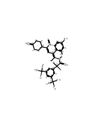 C=N/C(=C\C(=C(/C)N(C)C(=O)C(C)(C)c1cc(C(F)(F)F)cc(C(F)(F)F)c1)c1ccc(F)cc1C)C1CCC(=O)CC1